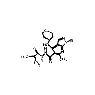 C=C(C)C(=O)NNC(=O)c1c(C)nc2c(cnn2CC)c1NC1CCOCC1